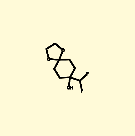 OC1(C(F)F)CCC2(CC1)OCCO2